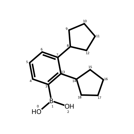 OB(O)c1cccc(C2CCCC2)c1C1CCCC1